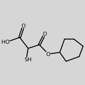 O=C(O)C(S)C(=O)OC1CCCCC1